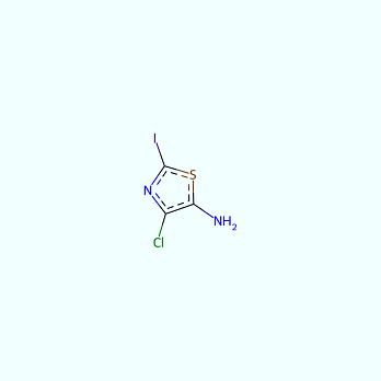 Nc1sc(I)nc1Cl